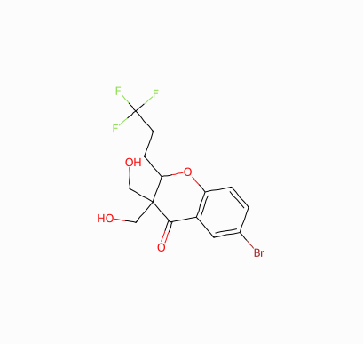 O=C1c2cc(Br)ccc2OC(CCC(F)(F)F)C1(CO)CO